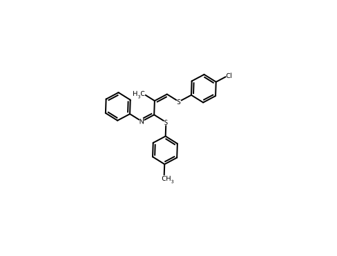 CC(=CSc1ccc(Cl)cc1)/C(=N\c1ccccc1)Sc1ccc(C)cc1